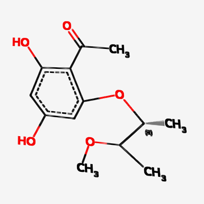 COC(C)[C@@H](C)Oc1cc(O)cc(O)c1C(C)=O